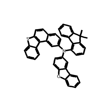 CC1(C)c2ccccc2-c2c(N(c3ccc4oc5ccccc5c4c3)c3ccc4ccc5sc6ccccc6c5c4c3)cccc21